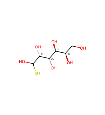 OC[C@@H](O)[C@H](O)[C@H](O)[C@@H](O)C(O)S